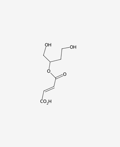 O=C(O)C=CC(=O)OC(CO)CCO